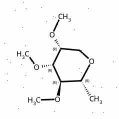 CO[C@H]1[C@H](OC)[C@H](OC)[CH]O[C@@H]1C